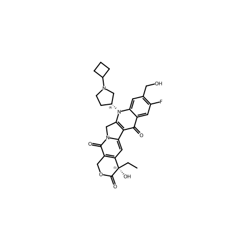 CC[C@@]1(O)C(=O)OCc2c1cc1n(c2=O)Cc2c-1c(=O)c1cc(F)c(CO)cc1n2[C@@H]1CCN(C2CCC2)C1